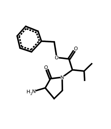 CC(C)C(C(=O)OCc1ccccc1)N1CCC(N)C1=O